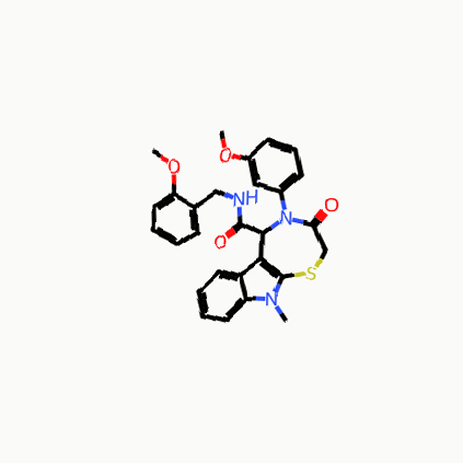 COc1cccc(N2C(=O)CSc3c(c4ccccc4n3C)C2C(=O)NCc2ccccc2OC)c1